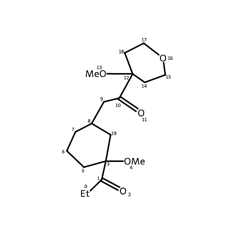 CCC(=O)C1(OC)CCCC(CC(=O)C2(OC)CCOCC2)C1